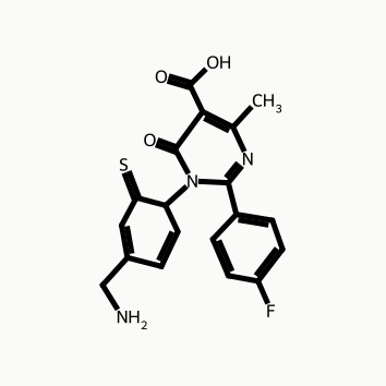 Cc1nc(-c2ccc(F)cc2)n(C2C=CC(CN)=CC2=S)c(=O)c1C(=O)O